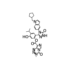 CC(C)c1cc(-c2n[nH]c(=O)n2-c2ccc3c(ccn3CC3CCCC3)c2)c(OC(=O)c2ncn3c(=O)n(C)nnc23)cc1O